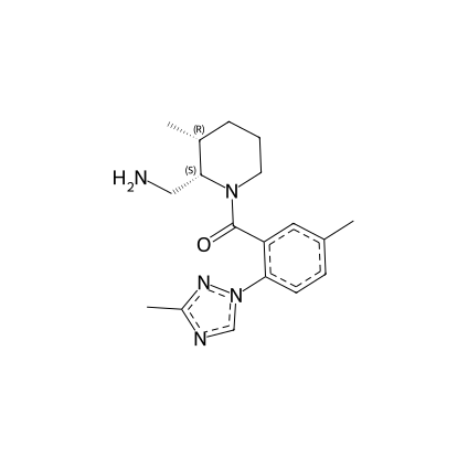 Cc1ccc(-n2cnc(C)n2)c(C(=O)N2CCC[C@@H](C)[C@H]2CN)c1